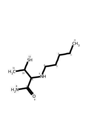 CCCCCNC(C(N)=O)C(C)S